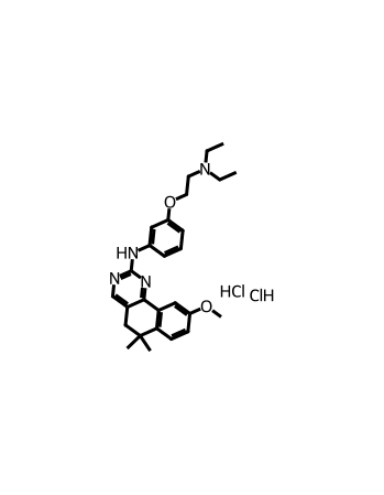 CCN(CC)CCOc1cccc(Nc2ncc3c(n2)-c2cc(OC)ccc2C(C)(C)C3)c1.Cl.Cl